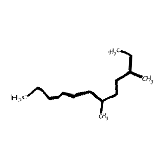 [CH2]CC(C)CCC(C)CCCCCC